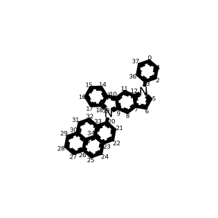 c1ccc(-n2ccc3cc4c(cc32)c2ccccc2n4-c2ccc3ccc4cccc5ccc2c3c45)cc1